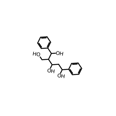 OCC(C(O)CC(O)c1ccccc1)C(O)c1ccccc1